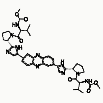 COC(=O)N[C@H](C(=O)N1CCC[C@H]1c1ncc(-c2ccc3nc4cc(-c5cnc([C@@H]6CCCN6C(=O)[C@@H](NC(=O)OC)C(C)C)[nH]5)ccc4nc3c2)[nH]1)C(C)C